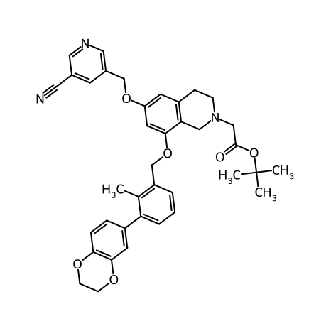 Cc1c(COc2cc(OCc3cncc(C#N)c3)cc3c2CN(CC(=O)OC(C)(C)C)CC3)cccc1-c1ccc2c(c1)OCCO2